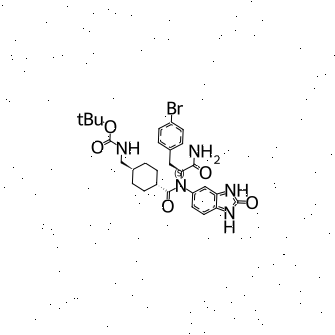 CC(C)(C)OC(=O)NC[C@H]1CC[C@H](C(=O)N(c2ccc3[nH]c(=O)[nH]c3c2)[C@@H](Cc2ccc(Br)cc2)C(N)=O)CC1